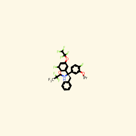 CC(C)Oc1cc([C@](Cc2ccccc2)(NC(=O)C(F)(F)C(F)(F)F)C2=CC(OC(F)(F)C(F)F)=CC(F)C2)ccc1F